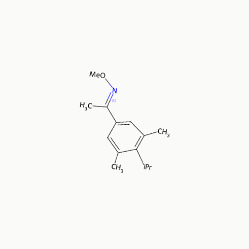 CO/N=C(\C)c1cc(C)c(C(C)C)c(C)c1